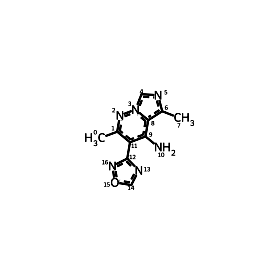 Cc1nn2cnc(C)c2c(N)c1-c1ncon1